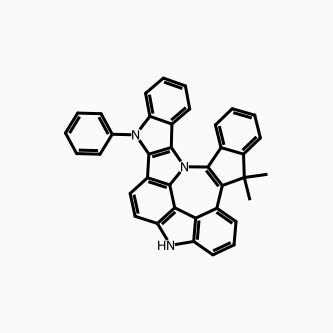 CC1(C)c2ccccc2-c2c1c1cccc3[nH]c4ccc5c6c(c7ccccc7n6-c6ccccc6)n2c5c4c31